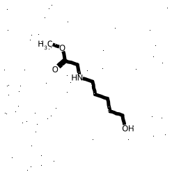 COC(=O)CNCCCCCO